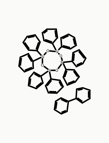 c1ccc(-c2ccccc2)cc1.c1ccc([Si]2(c3ccccc3)O[Si](c3ccccc3)(c3ccccc3)O[Si](c3ccccc3)(c3ccccc3)O[Si](c3ccccc3)(c3ccccc3)O2)cc1